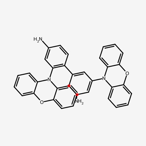 Nc1cc(-c2ccc(N)cc2N2c3ccccc3Oc3ccccc32)cc(N2c3ccccc3Oc3ccccc32)c1